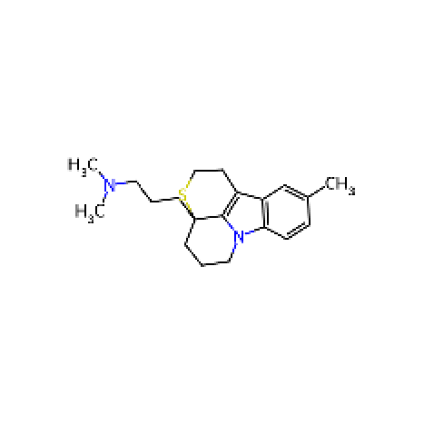 Cc1ccc2c(c1)c1c3n2CCCC3(CCCN(C)C)SCC1